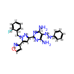 Nc1nc(-c2cc(-c3ccon3)n(Cc3ccccc3F)n2)nc(N)c1N=Nc1ccccc1